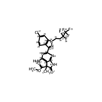 COC(=O)C1(C)C(=O)Nc2nc(-c3nn(CCC(F)(F)C(F)(F)F)c4cc(Cl)ccc34)nc(N)c21